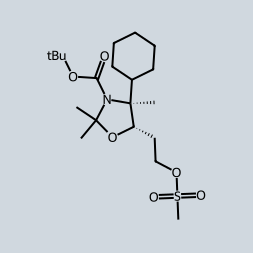 CC(C)(C)OC(=O)N1C(C)(C)O[C@@H](CCOS(C)(=O)=O)[C@]1(C)C1CCCCC1